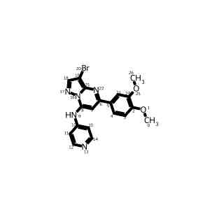 COc1ccc(-c2cc(Nc3ccncc3)n3ncc(Br)c3n2)cc1OC